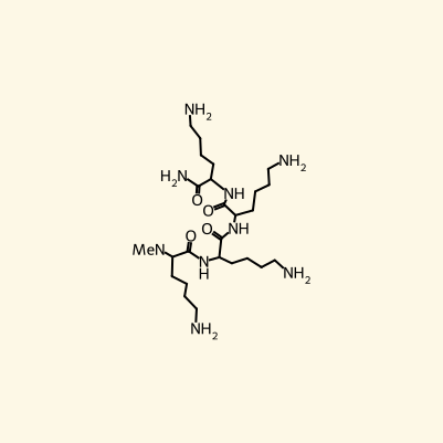 CNC(CCCCN)C(=O)NC(CCCCN)C(=O)NC(CCCCN)C(=O)NC(CCCCN)C(N)=O